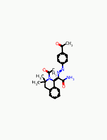 CC(=O)c1ccc(N=NC(C(N)=O)=C2c3ccccc3CC(C)(C)N2C(C)=O)cc1